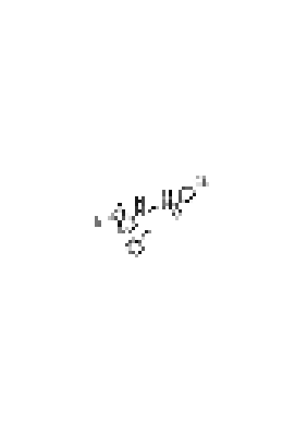 N#Cc1ccc(C(=O)NCCCNc2cc(-c3ccccc3Cl)nc3c(Br)cnn23)cc1